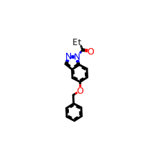 CCC(=O)n1ncc2cc(OCc3ccccc3)ccc21